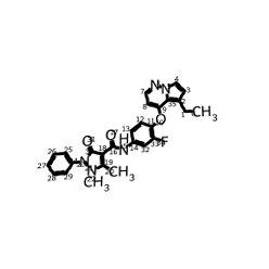 CCc1ccn2nccc(Oc3ccc(NC(=O)c4c(C)n(C)n(-c5ccccc5)c4=O)cc3F)c12